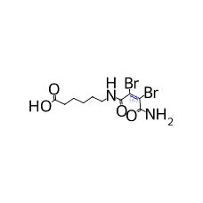 NC(=O)/C(Br)=C(/Br)C(=O)NCCCCCC(=O)O